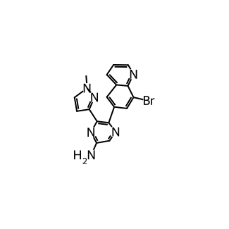 Cn1ccc(-c2nc(N)cnc2-c2cc(Br)c3ncccc3c2)n1